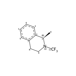 C[C@@H]1c2ccccc2CCN1C(F)(F)F